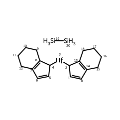 C1=C[CH]([Hf][CH]2C=CC3=C2CCCC3)C2=C1CCCC2.[SiH3][SiH3]